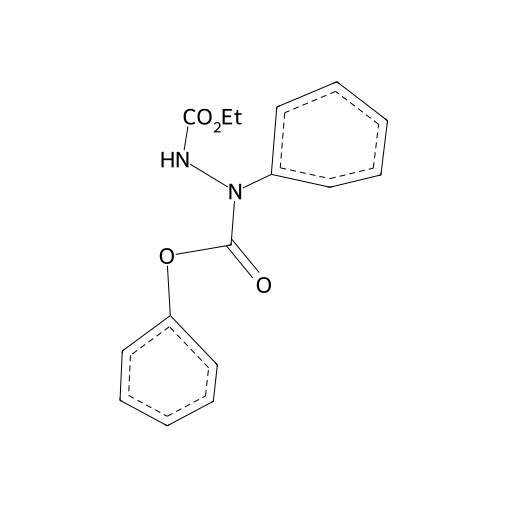 CCOC(=O)NN(C(=O)Oc1ccccc1)c1ccccc1